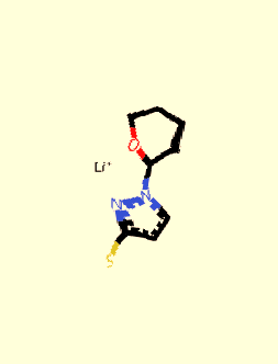 [Li+].[S-]c1ccn(C2CCCCO2)n1